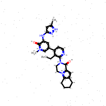 CC(=O)OCc1c(-c2cc(Nc3cc(C)[nH]n3)c(=O)n(C)c2)ccnc1N1CCn2c(cc3c2CCCC3)C1=O